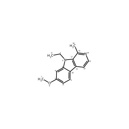 CCn1c2cc(OC)ccc2c2ccnc(C)c21